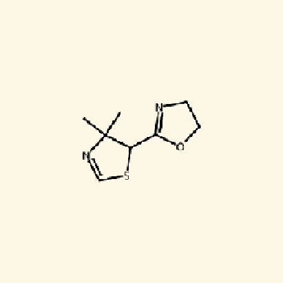 CC1(C)N=[C]SC1C1=NCCO1